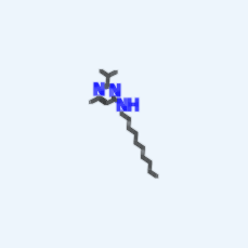 CCCCCCCCCCNc1cc(C)nc(C(C)C)n1